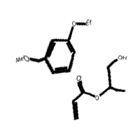 C=CC(=O)OC(C)CO.CCOc1cccc(OC)c1